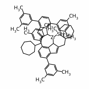 Cc1cc(C)cc(-c2ccc(-c3cc(C)cc(C)c3)c3c2C=C(CC2CCCCCC2)[CH]3[Zr]([CH]2C(CC3CCCCCC3)=Cc3c(-c4cc(C)cc(C)c4)ccc(-c4cc(C)cc(C)c4)c32)[SiH](C)C)c1